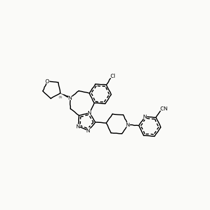 N#Cc1cccc(N2CCC(c3nnc4n3-c3ccc(Cl)cc3CN([C@H]3CCOC3)C4)CC2)n1